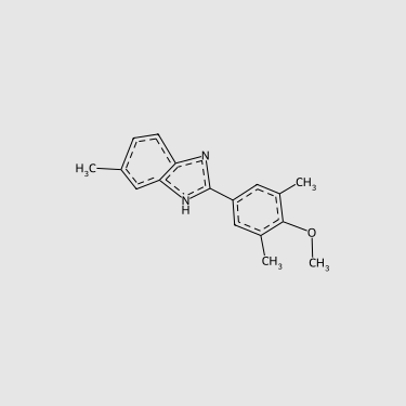 COc1c(C)cc(-c2nc3ccc(C)cc3[nH]2)cc1C